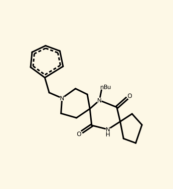 CCCCN1C(=O)C2(CCCC2)NC(=O)C12CCN(Cc1ccccc1)CC2